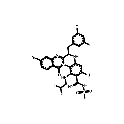 CS(=O)(=O)NC(=N)c1c(Cl)cc2c(c1NCC(F)F)-n1c(nc3cc(Br)ccc3c1=O)C(Cc1cc(F)cc(F)c1)N2